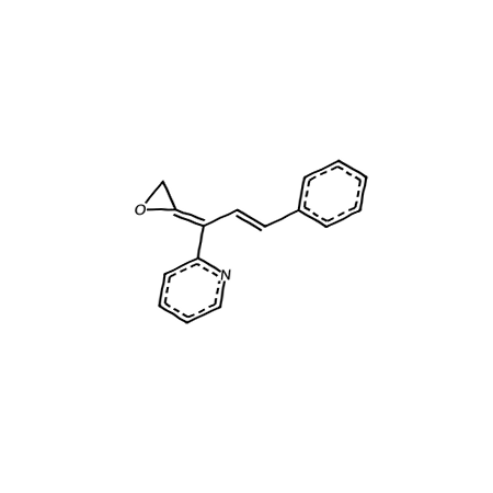 C(=C\c1ccccc1)/C(=C1\CO1)c1ccccn1